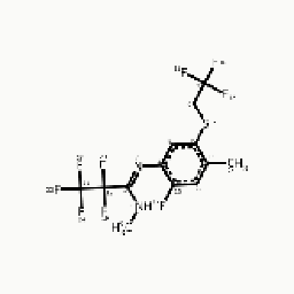 CN/C(=N\c1cc(SCC(F)(F)F)c(C)cc1F)C(F)(F)C(F)(F)F